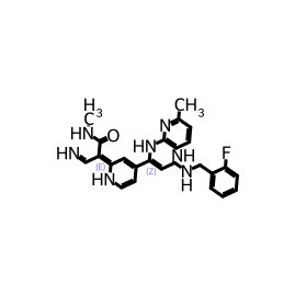 CNC(=O)/C(C=N)=C1C=C(/C(=C/C(=N)NCc2ccccc2F)Nc2cccc(C)n2)C=CN\1